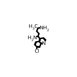 CC(N)CCC(N)c1ccnc2cc(Cl)ccc12